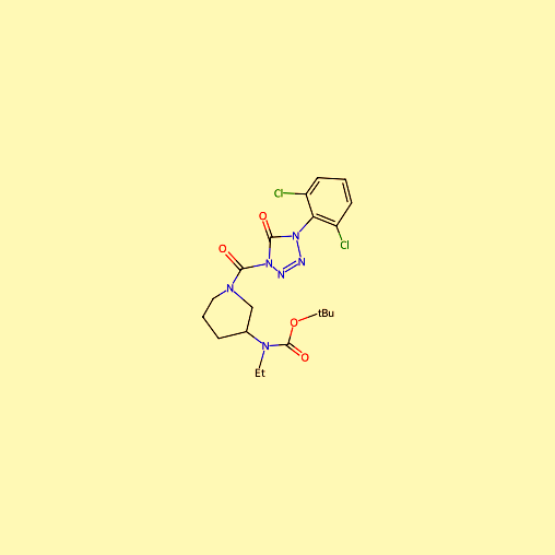 CCN(C(=O)OC(C)(C)C)C1CCCN(C(=O)n2nnn(-c3c(Cl)cccc3Cl)c2=O)C1